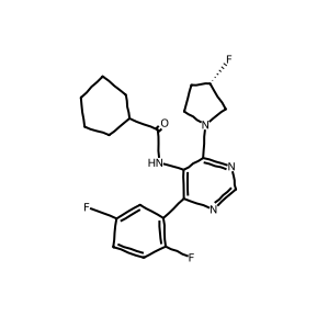 O=C(Nc1c(-c2cc(F)ccc2F)ncnc1N1CC[C@H](F)C1)C1CCCCC1